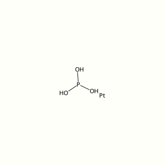 OP(O)O.[Pt]